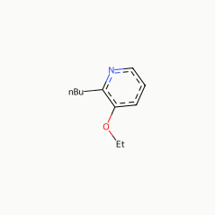 [CH2]CCCc1ncccc1OCC